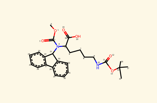 COC(=O)N(C(CCCCNC(=O)OC(C)(C)C)C(=O)O)C1c2ccccc2-c2ccccc21